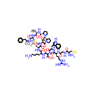 CC[C@H](C)[C@H](NC(=O)[C@@H]1CCCN1C(=O)[C@@H]1CCCN1C(=O)[C@@H](NC(=O)[C@H](CO)NC(=O)[C@H](CCCCN)NC(=O)[C@@H](NC(=O)[C@H](Cc1c[nH]c2ccccc12)NC(=O)[C@H](CCCNC(=N)N)NC(=O)CNC(=O)[C@@H](N)CS)[C@@H](C)O)[C@@H](C)CC)C(=O)N[C@@H](CS)C(=O)N[C@@H](Cc1ccccc1)C(=O)O